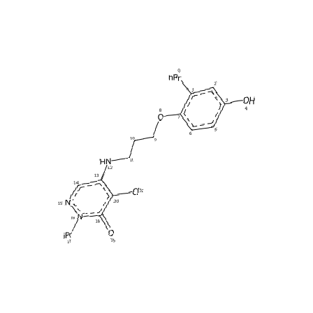 CCCc1cc(O)ccc1OCCCNc1cnn(C(C)C)c(=O)c1Cl